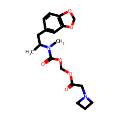 CC(Cc1ccc2c(c1)OCO2)N(C)C(=O)OCOC(=O)CN1CCC1